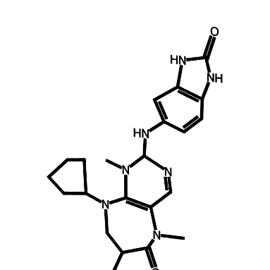 CC1CN(C2CCCC2)C2=C(C=NC(Nc3ccc4[nH]c(=O)[nH]c4c3)N2C)N(C)C1=O